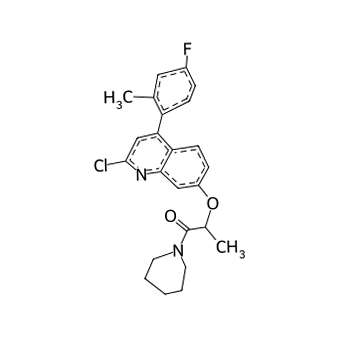 Cc1cc(F)ccc1-c1cc(Cl)nc2cc(OC(C)C(=O)N3CCCCC3)ccc12